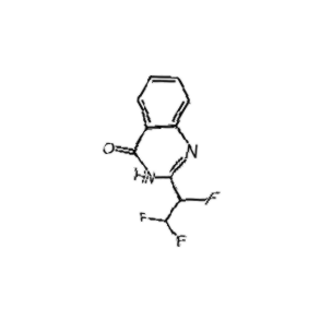 O=c1[nH]c(C(F)C(F)F)nc2ccccc12